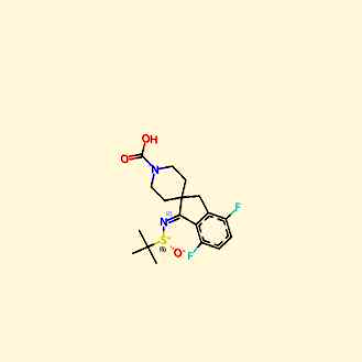 CC(C)(C)[S@@+]([O-])/N=C1\c2c(F)ccc(F)c2CC12CCN(C(=O)O)CC2